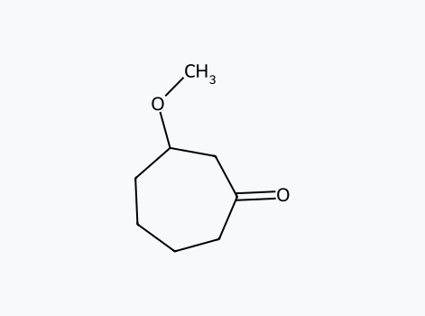 COC1CCCCC(=O)C1